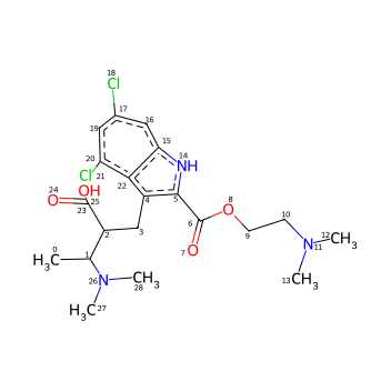 CC(C(Cc1c(C(=O)OCCN(C)C)[nH]c2cc(Cl)cc(Cl)c12)C(=O)O)N(C)C